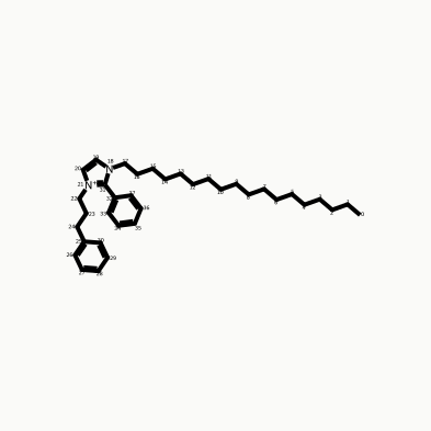 CCCCCCCCCCCCCCCCCCn1cc[n+](CCCc2ccccc2)c1-c1ccccc1